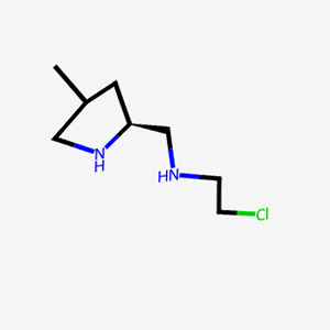 CC1CN[C@H](CNCCCl)C1